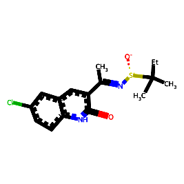 CCC(C)(C)[S@@+]([O-])/N=C(\C)c1cc2cc(Cl)ccc2[nH]c1=O